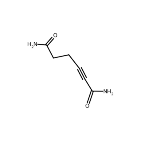 NC(=O)C#CCCC(N)=O